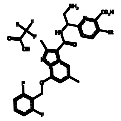 CCc1ccc(C(CN)NC(=O)c2c(C)nn3c(OCc4c(F)cccc4F)cc(C)cc23)nc1C(=O)O.O=C(O)C(F)(F)F